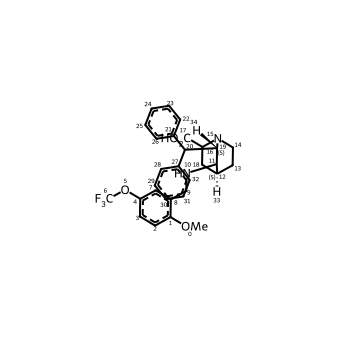 COc1ccc(OC(F)(F)F)cc1CNC1[C@H]2CCN(C(C(=O)O)C2)[C@H]1C(c1ccccc1)c1ccccc1